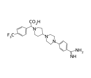 N=C(N)c1ccc(N2CCN(C3CCN(C(C(=O)O)c4ccc(C(F)(F)F)cc4)CC3)CC2)cc1